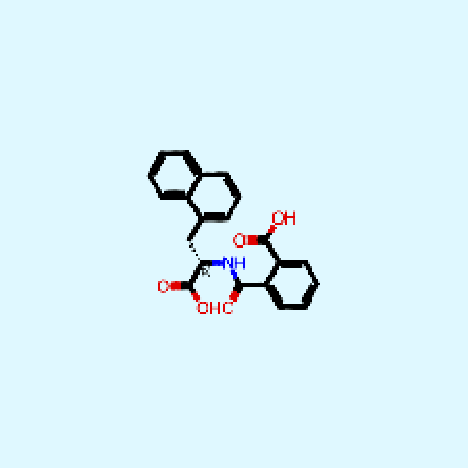 O=C(O)c1ccccc1C(=O)N[C@@H](Cc1cccc2ccccc12)C(=O)O